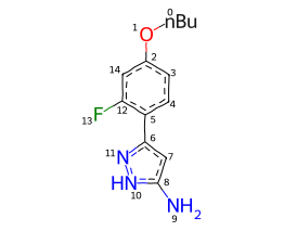 CCCCOc1ccc(-c2cc(N)[nH]n2)c(F)c1